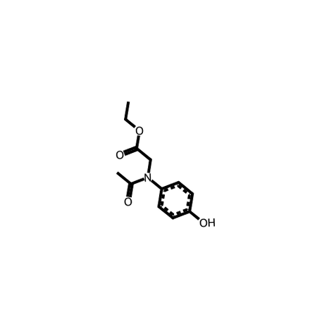 CCOC(=O)CN(C(C)=O)c1ccc(O)cc1